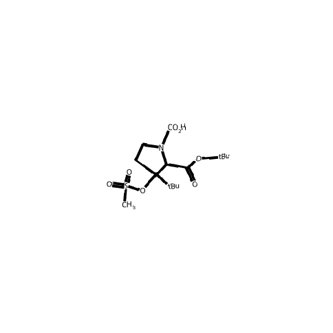 CC(C)(C)OC(=O)C1N(C(=O)O)CCC1(OS(C)(=O)=O)C(C)(C)C